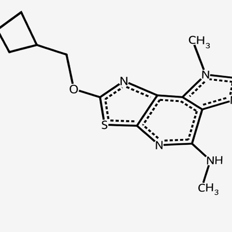 CNc1nc2sc(OCC3CCC3)nc2c2c1ncn2C